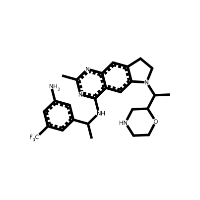 Cc1nc(NC(C)c2cc(N)cc(C(F)(F)F)c2)c2cc3c(cc2n1)CCN3C(C)C1CNCCO1